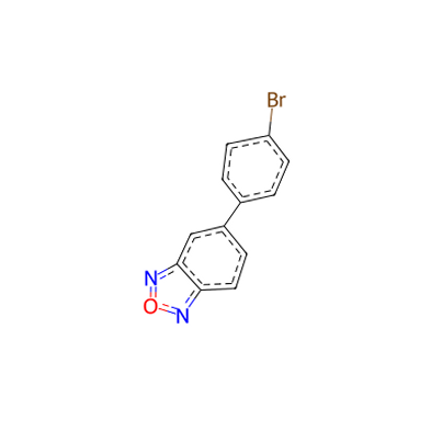 Brc1ccc(-c2ccc3nonc3c2)cc1